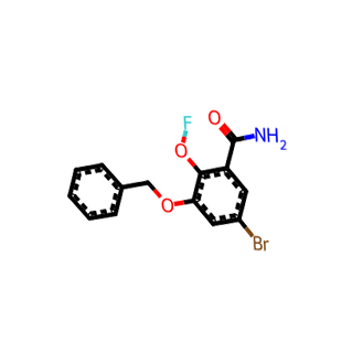 NC(=O)c1cc(Br)cc(OCc2ccccc2)c1OF